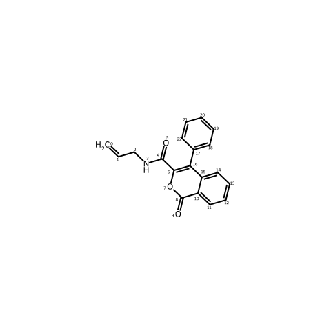 C=CCNC(=O)c1oc(=O)c2ccccc2c1-c1ccccc1